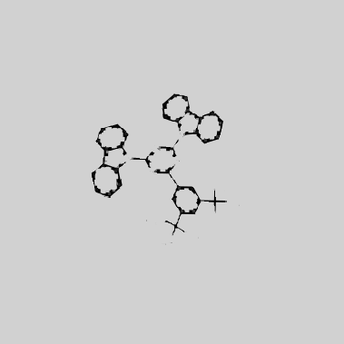 CC(C)(C)c1cc(-c2nc(-n3c4ccccc4c4ccccc43)nc(-n3c4ccccc4c4ccccc43)n2)cc(C(C)(C)C)c1